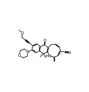 C=C1/C=C(C#N)\C=C/CC2=C(N1)C(C)(C)c1cc(N3CCOCC3)c(C#CCOC)cc1C2=O